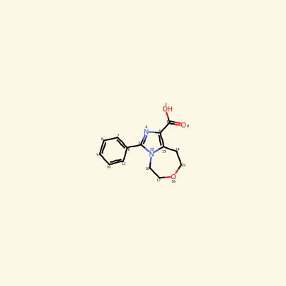 O=C(O)c1nc(-c2ccccc2)n2c1CCOCC2